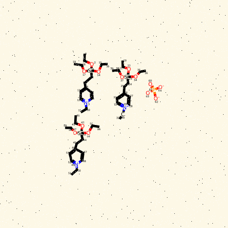 CCO[Si](CCc1cc[n+](CC)cc1)(OCC)OCC.CCO[Si](CCc1cc[n+](CC)cc1)(OCC)OCC.CCO[Si](CCc1cc[n+](CC)cc1)(OCC)OCC.O=P([O-])([O-])[O-]